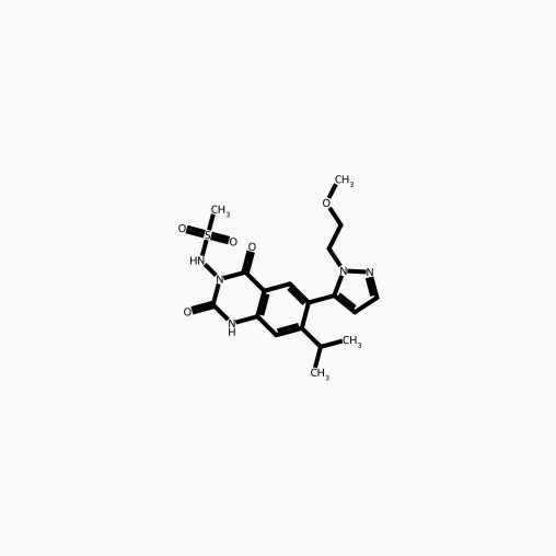 COCCn1nccc1-c1cc2c(=O)n(NS(C)(=O)=O)c(=O)[nH]c2cc1C(C)C